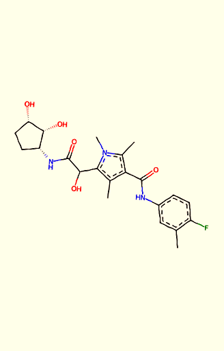 Cc1cc(NC(=O)c2c(C)c(C(O)C(=O)N[C@@H]3CC[C@H](O)[C@@H]3O)n(C)c2C)ccc1F